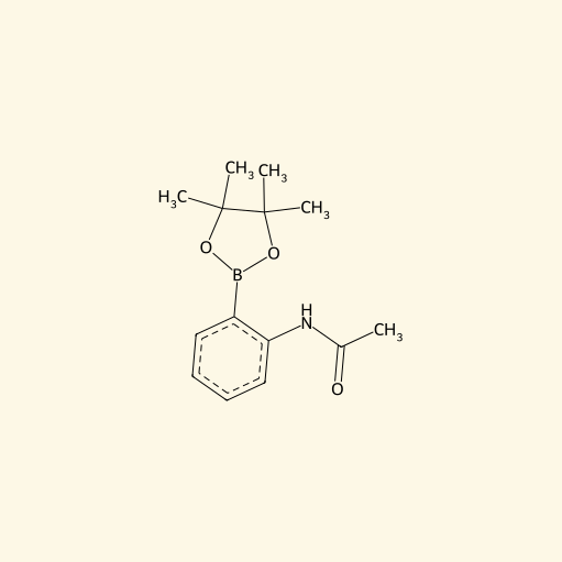 CC(=O)Nc1ccccc1B1OC(C)(C)C(C)(C)O1